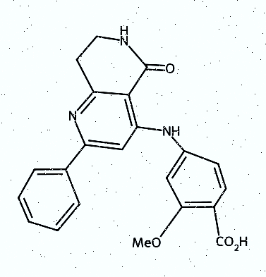 COc1cc(Nc2cc(-c3ccccc3)nc3c2C(=O)NCC3)ccc1C(=O)O